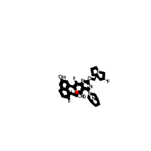 C#Cc1c(F)ccc2cc(O)cc(-c3c(F)c4nc(OC[C@@]56CCCN5C[C@H](F)C6)nc(N5CC6CCC(C5)N6)c4c(=O)n3C)c12